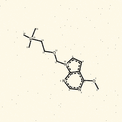 COc1ncnc2c1ccn2COCC[Si](C)(C)C